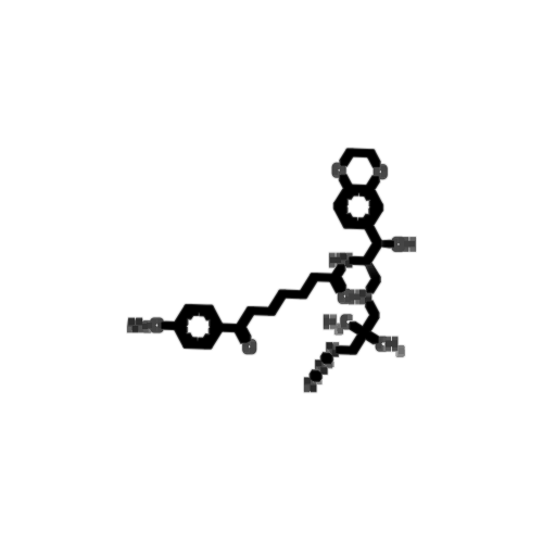 COc1ccc(C(=O)CCCCCC(=O)N[C@H](CNCC(C)(C)CN=[N+]=[N-])[C@H](O)c2ccc3c(c2)OCCO3)cc1